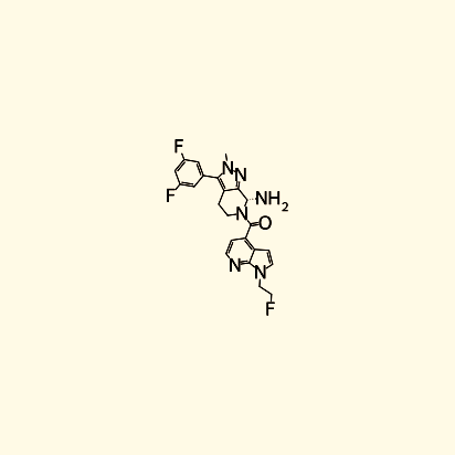 Cn1nc2c(c1-c1cc(F)cc(F)c1)CCN(C(=O)c1ccnc3c1ccn3CCF)[C@H]2N